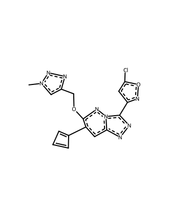 Cn1cc(COc2nn3c(-c4cc(Cl)on4)nnc3cc2C2=CC=C2)nn1